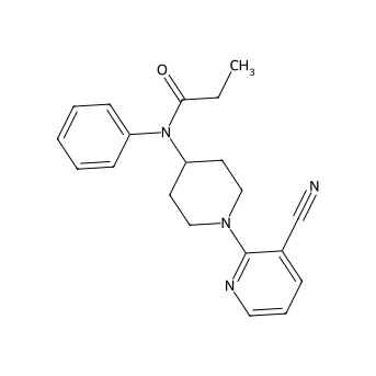 CCC(=O)N(c1ccccc1)C1CCN(c2ncccc2C#N)CC1